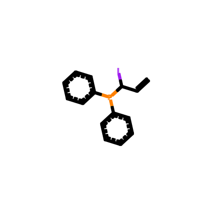 C=CC(I)P(c1ccccc1)c1ccccc1